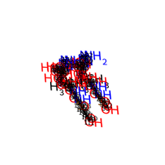 CC(C)(COP(=O)(O)OP(=O)(O)OC[C@H]1O[C@@H](n2cnc3c(N)ncnc32)[C@H](O)[C@@H]1OP(=O)(O)O)[C@@H](O)C(=O)NCCC(=O)NCCSC(=O)CC(=O)O.CC(C)(COP(=O)(O)OP(=O)(O)OC[C@H]1O[C@@H](n2cnc3c(N)ncnc32)[C@H](O)[C@@H]1OP(=O)(O)O)[C@@H](O)C(=O)NCCC(=O)NCCSC(=O)CCCCCC(=O)O